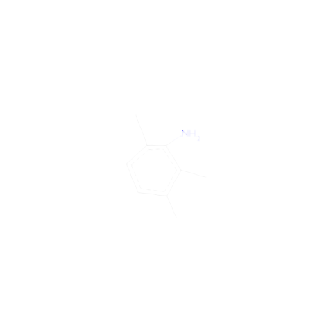 Cc1ccc(C)c(N)c1C